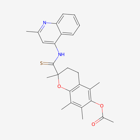 CC(=O)Oc1c(C)c(C)c2c(c1C)CCC(C)(C(=S)Nc1cc(C)nc3ccccc13)O2